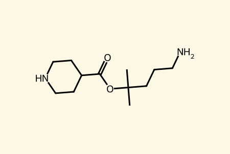 CC(C)(CCCN)OC(=O)C1CCNCC1